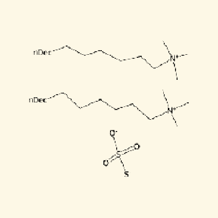 CCCCCCCCCCCCCCCC[N+](C)(C)C.CCCCCCCCCCCCCCCC[N+](C)(C)C.O=S(=O)([O-])[S-]